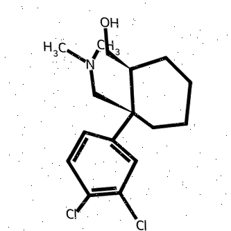 CN(C)C[C@]1(c2ccc(Cl)c(Cl)c2)CCCC[C@@H]1CO